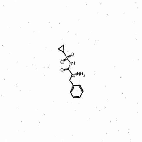 N[C@@H](Cc1ccccc1)C(=O)NS(=O)(=O)C1CC1